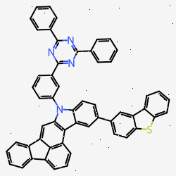 c1ccc(-c2nc(-c3ccccc3)nc(-c3cccc(-n4c5ccc(-c6ccc7sc8ccccc8c7c6)cc5c5c6cccc7c6c(cc54)-c4ccccc4-7)c3)n2)cc1